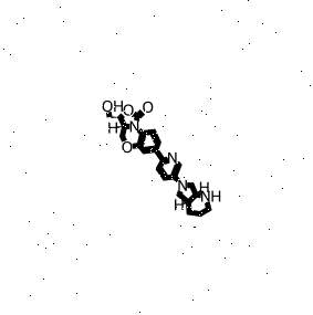 O=C1O[C@@H](CO)[C@@H]2COc3cc(-c4ccc(N5C[C@@H]6CCCN[C@@H]6C5)cn4)ccc3N12